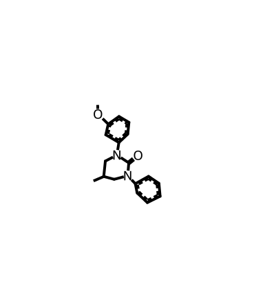 COc1cccc(N2CC(C)CN(c3ccccc3)C2=O)c1